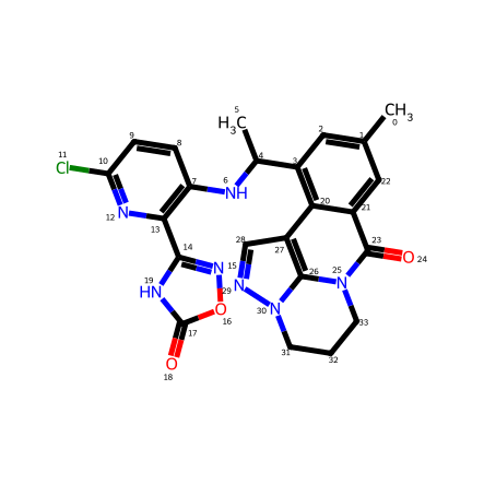 Cc1cc(C(C)Nc2ccc(Cl)nc2-c2noc(=O)[nH]2)c2c(c1)c(=O)n1c3c2cnn3CCC1